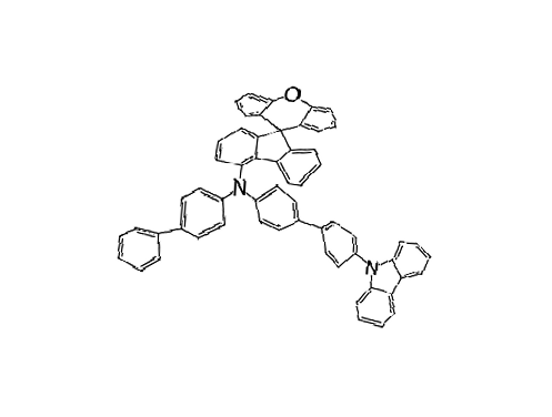 c1ccc(-c2ccc(N(c3ccc(-c4ccc(-n5c6ccccc6c6ccccc65)cc4)cc3)c3cccc4c3-c3ccccc3C43c4ccccc4Oc4ccccc43)cc2)cc1